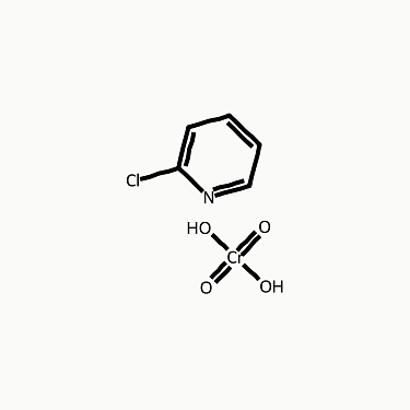 Clc1ccccn1.[O]=[Cr](=[O])([OH])[OH]